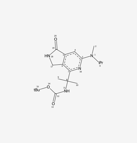 CC(C)N(C)c1cc2c(c(C(C)(C)NC(=O)OC(C)(C)C)n1)CNC2=O